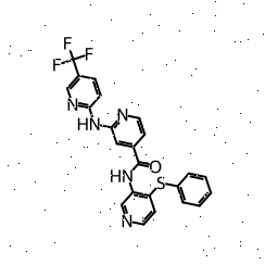 O=C(Nc1cnccc1Sc1ccccc1)c1ccnc(Nc2ccc(C(F)(F)F)cn2)c1